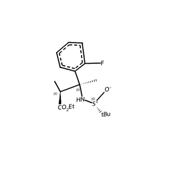 CCOC(=O)[C@@H](C)[C@](C)(N[S@+]([O-])C(C)(C)C)c1ccccc1F